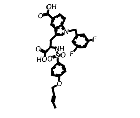 CC#CCOc1ccc(S(=O)(=O)NC(Cc2cn(Cc3cc(F)cc(F)c3)c3ccc(C(=O)O)cc23)C(=O)O)cc1